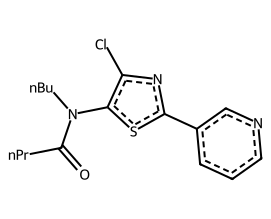 CCCCN(C(=O)CCC)c1sc(-c2cccnc2)nc1Cl